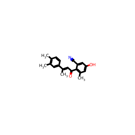 C/C(=C\C(=O)c1c(C)cc(O)cc1C#N)c1ccc(C)c(C)c1